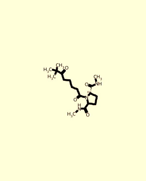 CNC(=O)C1CC[C@@H](C(=O)NC)N1C(=O)CCCCC(=O)C(C)(C)C